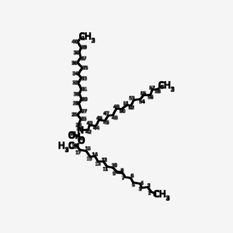 CCCCCCCCC=CCCCCCCCCC(C)OC(=O)N(CCCCCCCCCCCCCCCCCC)CCCCCCCCCCCCCCCCCC